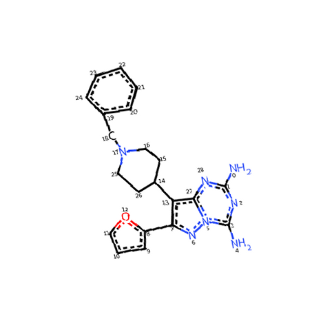 Nc1nc(N)n2nc(-c3ccco3)c(C3CCN(Cc4ccccc4)CC3)c2n1